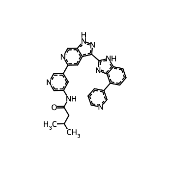 CC(C)CC(=O)Nc1cncc(-c2cc3c(-c4nc5c(-c6cccnc6)cccc5[nH]4)n[nH]c3cn2)c1